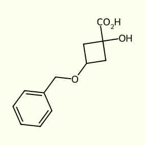 O=C(O)C1(O)CC(OCc2ccccc2)C1